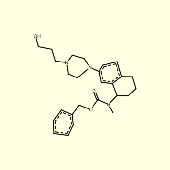 CN(C(=O)OCc1ccccc1)C1CCCc2ccc(N3CCN(CCCO)CC3)cc21